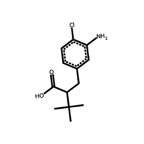 CC(C)(C)C(Cc1ccc(Cl)c(N)c1)C(=O)O